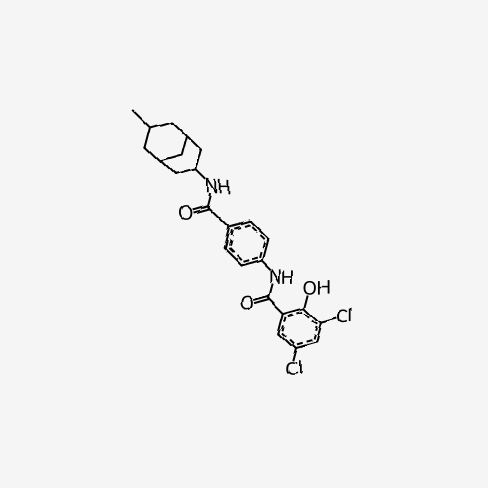 CC1CC2CC(C1)CC(NC(=O)c1ccc(NC(=O)c3cc(Cl)cc(Cl)c3O)cc1)C2